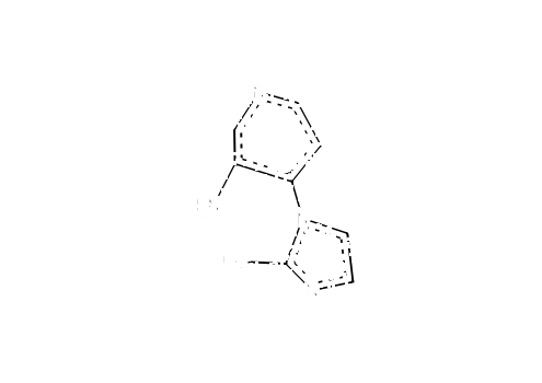 Cc1nccn1-c1ccncc1N